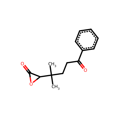 CC(C)(CCC(=O)c1ccccc1)C1OC1=O